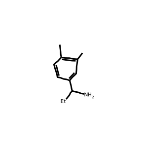 CCC(N)c1ccc(C)c(C)c1